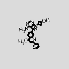 Cc1cc(-c2cccs2)nc2cc(-c3nn(C4CC(O)C4)c4ncnc(N)c34)ccc12